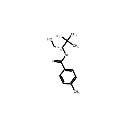 Cc1ccc(C(=O)N[C@H](CO)C(C)(C)C)cc1